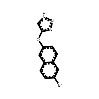 Brc1ccc2cc(Oc3c[nH]nn3)ccc2c1